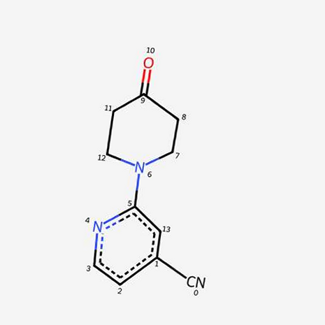 N#Cc1ccnc(N2CCC(=O)CC2)c1